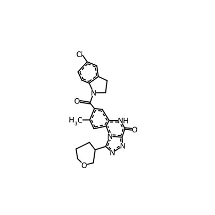 Cc1cc2c(cc1C(=O)N1CCc3cc(Cl)ccc31)[nH]c(=O)c1nnc(C3CCCOC3)n12